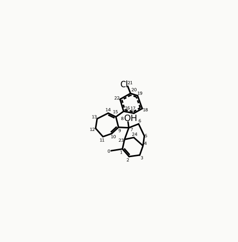 CC1=CCC2CCC(O)(C3=CCCCC=C3c3cccc(Cl)c3)C1C2